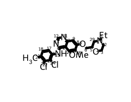 CCN1CCOC(COc2cc3ncnc(Nc4ccc(C)c(Cl)c4Cl)c3cc2OC)C1